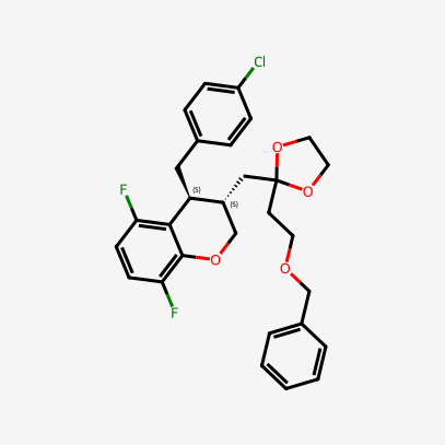 Fc1ccc(F)c2c1OC[C@@H](CC1(CCOCc3ccccc3)OCCO1)[C@@H]2Cc1ccc(Cl)cc1